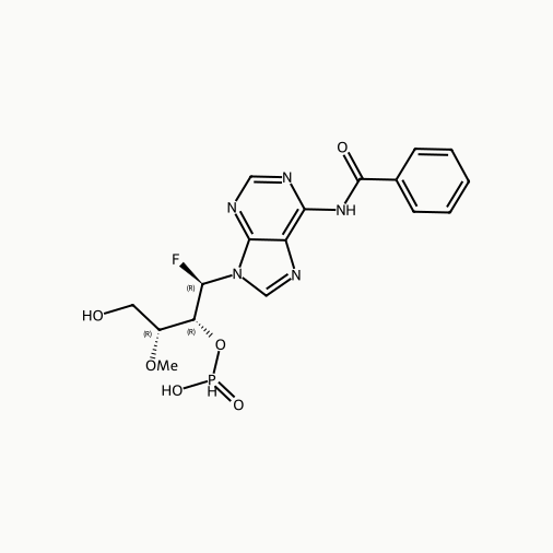 CO[C@H](CO)[C@@H](O[PH](=O)O)[C@@H](F)n1cnc2c(NC(=O)c3ccccc3)ncnc21